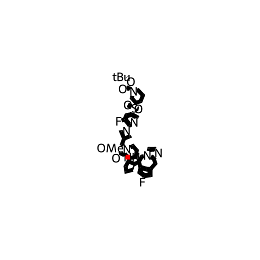 COC(=O)N[C@H]1CCC[C@@H]1[C@]1(C2CCN(CC3CN(c4ncc(S(=O)(=O)[C@@H]5CCCN(C(=O)OC(C)(C)C)C5)cc4F)C3)CC2)Cn2ccnc2Cc2cc(F)cc1c2